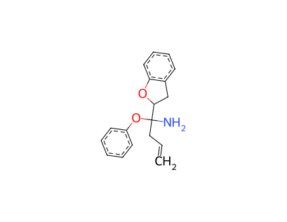 C=CCC(N)(Oc1ccccc1)C1Cc2ccccc2O1